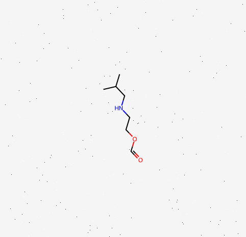 CC(C)CNCCOC=O